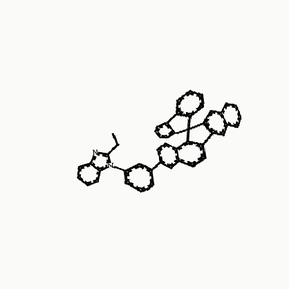 CCc1nc2ccccc2n1-c1cccc(-c2ccc3c4c(ccc3c2)-c2cc3ccccc3cc2C42c3ccccc3-c3ccccc32)c1